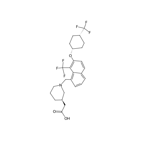 O=C(O)C[C@H]1CCCN(Cc2cccc3ccc(O[C@H]4CC[C@@H](C(F)(F)F)CC4)c(C(F)(F)F)c23)C1